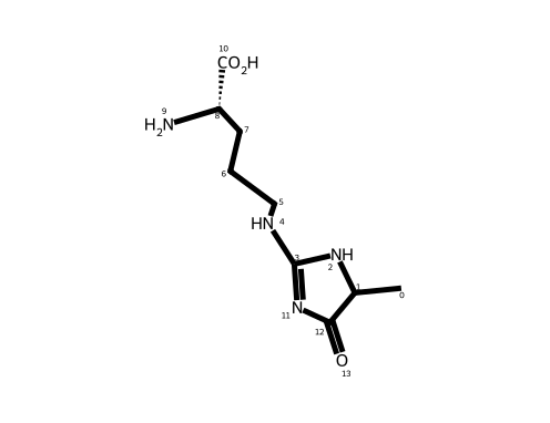 CC1NC(NCCC[C@H](N)C(=O)O)=NC1=O